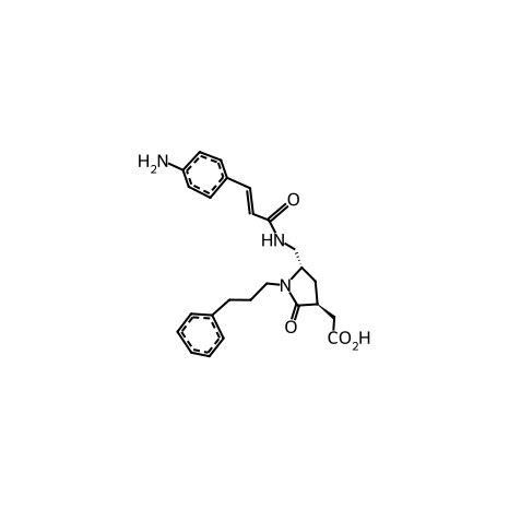 Nc1ccc(C=CC(=O)NC[C@@H]2C[C@@H](CC(=O)O)C(=O)N2CCCc2ccccc2)cc1